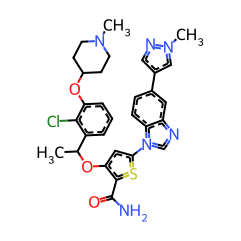 CC(Oc1cc(-n2cnc3cc(-c4cnn(C)c4)ccc32)sc1C(N)=O)c1cccc(OC2CCN(C)CC2)c1Cl